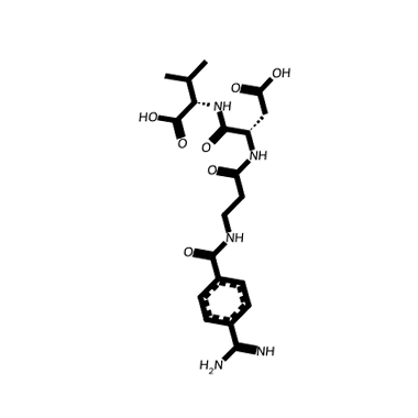 CC(C)[C@H](NC(=O)[C@H](CC(=O)O)NC(=O)CCNC(=O)c1ccc(C(=N)N)cc1)C(=O)O